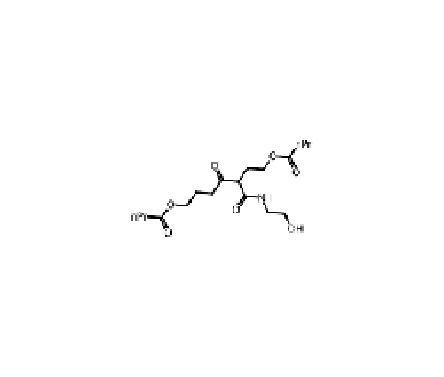 CCCC(=O)OCCCC(=O)C(CCOC(=O)CCC)C(=O)NCCO